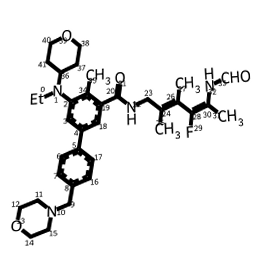 CCN(c1cc(-c2ccc(CN3CCOCC3)cc2)cc(C(=O)NC/C(C)=C(C)/C(F)=C(/C)NC=O)c1C)C1CCOCC1